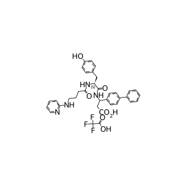 O=C(O)C(F)(F)F.O=C(O)CC(NC(=O)[C@H](Cc1ccc(O)cc1)NC(=O)CCCNc1ccccn1)c1ccc(-c2ccccc2)cc1